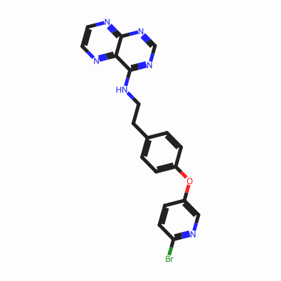 Brc1ccc(Oc2ccc(CCNc3ncnc4nccnc34)cc2)cn1